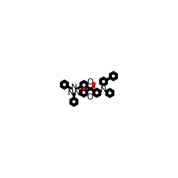 c1ccc(-c2cccc(N(c3ccccc3)c3ccc4c(c3)C3(c5ccccc5Oc5ccc(-c6nc(-c7ccccc7)nc(-c7ccccc7)n6)cc53)c3ccccc3O4)c2)cc1